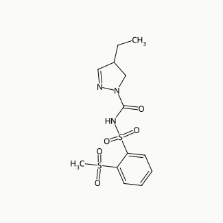 CCC1C=NN(C(=O)NS(=O)(=O)c2ccccc2S(C)(=O)=O)C1